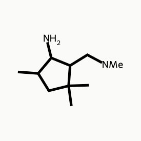 CNCC1C(N)C(C)CC1(C)C